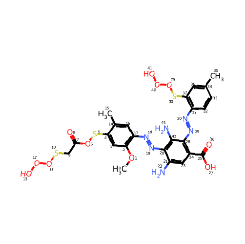 COc1cc(SOC(=O)CSOOO)c(C)cc1N=Nc1c(N)cc(C(=O)O)c(N=Nc2ccc(C)cc2SOOO)c1N